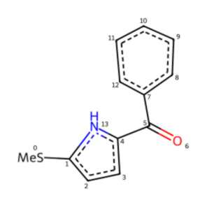 CSc1ccc(C(=O)c2ccccc2)[nH]1